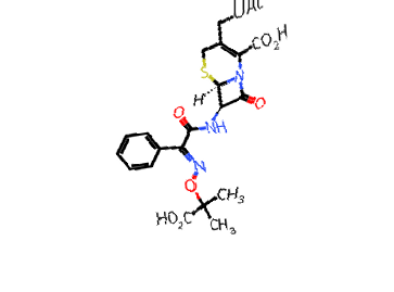 CC(=O)OCC1=C(C(=O)O)N2C(=O)[C@@H](NC(=O)C(=NOC(C)(C)C(=O)O)c3ccccc3)[C@H]2SC1